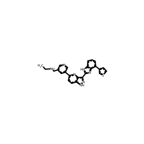 CCNCc1cncc(-c2ccc3[nH]nc(-c4nc5c(-c6ccsc6)cccc5[nH]4)c3n2)c1